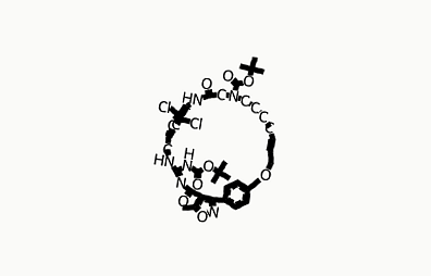 Cc1onc2c1C(=O)/N=C(\NC(=O)OC(C)(C)C)NCc1cc(Cl)c(c(Cl)c1)NC(=O)CN(C(=O)OC(C)(C)C)CCCC/C=C/COc1ccc-2cc1